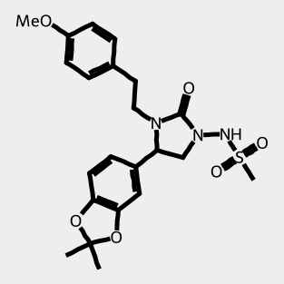 COc1ccc(CCN2C(=O)N(NS(C)(=O)=O)CC2c2ccc3c(c2)OC(C)(C)O3)cc1